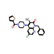 N#Cc1c(N2CCN(C(=O)c3cccs3)CC2)c2cc(F)cnc2n(Cc2ccccc2)c1=O